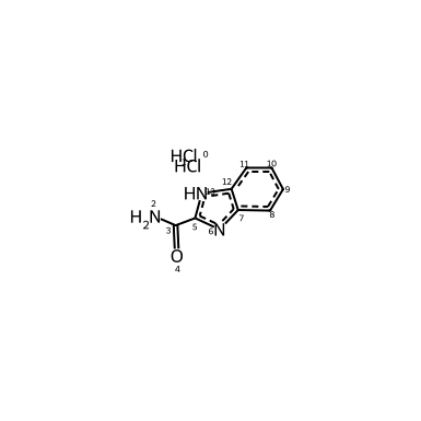 Cl.Cl.NC(=O)c1nc2ccccc2[nH]1